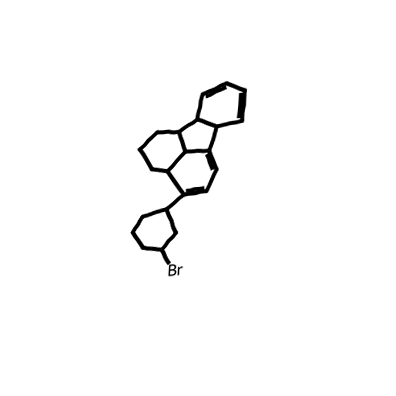 BrC1CCCC(C2=CC=C3C4C=CC=CC4C4CCCC2C34)C1